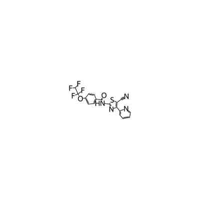 N#Cc1sc(NC(=O)c2ccc(OC(F)(F)C(F)F)cc2)nc1-c1ccccn1